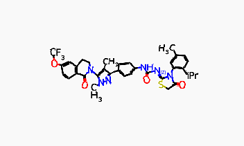 Cc1ccc(C(C)C)c(N2C(=O)CS/C2=N\C(=O)Nc2ccc(-c3nn(C)c(N4CCc5cc(OC(F)(F)F)ccc5C4=O)c3C)cc2)c1